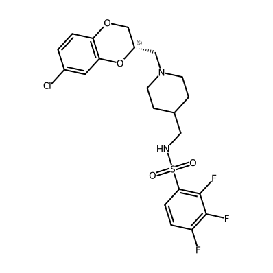 O=S(=O)(NCC1CCN(C[C@H]2COc3ccc(Cl)cc3O2)CC1)c1ccc(F)c(F)c1F